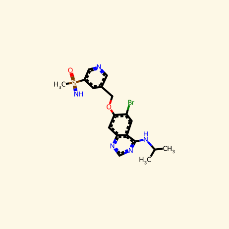 CC(C)Nc1ncnc2cc(OCc3cncc(S(C)(=N)=O)c3)c(Br)cc12